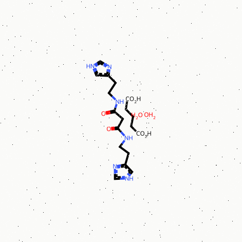 O.O.O=C(CC(=O)NCCc1c[nH]cn1)NCCc1c[nH]cn1.O=C(O)CCCC(=O)O